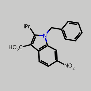 CC(C)c1c(C(=O)O)c2ccc([N+](=O)[O-])cc2n1Cc1ccccc1